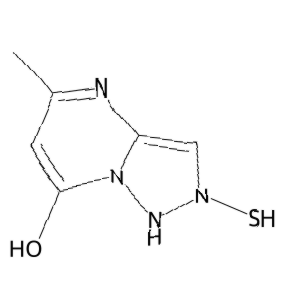 CC1=NC2=CN(S)NN2C(O)=C1